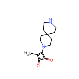 Cc1c(N2CCC3(CCNCC3)CC2)c(=O)c1=O